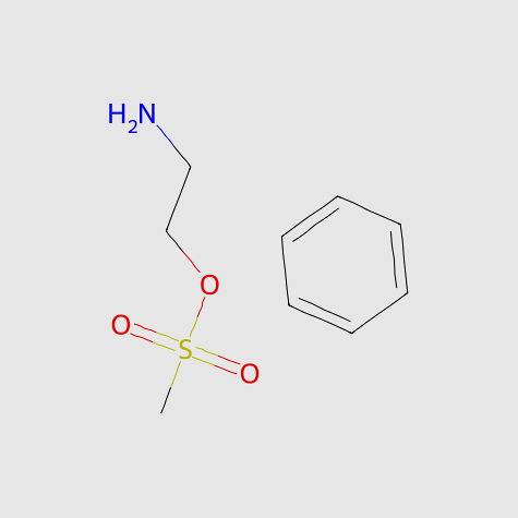 CS(=O)(=O)OCCN.c1ccccc1